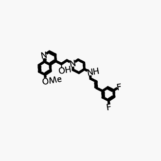 COc1ccc2nccc([C@@H](O)CN3CCC(NC/C=C/c4cc(F)cc(F)c4)CC3)c2c1